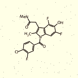 CNC(=O)Cc1c(C)n(C(=O)c2ccc(Cl)c(F)c2)c2cc(F)c(O)c(F)c12